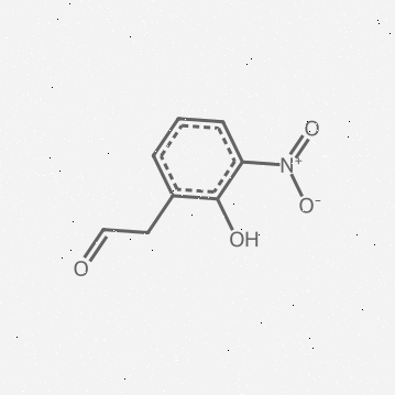 O=CCc1cccc([N+](=O)[O-])c1O